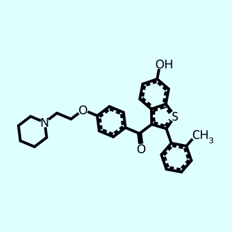 Cc1ccccc1-c1sc2cc(O)ccc2c1C(=O)c1ccc(OCCN2CCCCC2)cc1